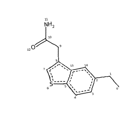 CCc1ccc2scc(CC(N)=O)c2c1